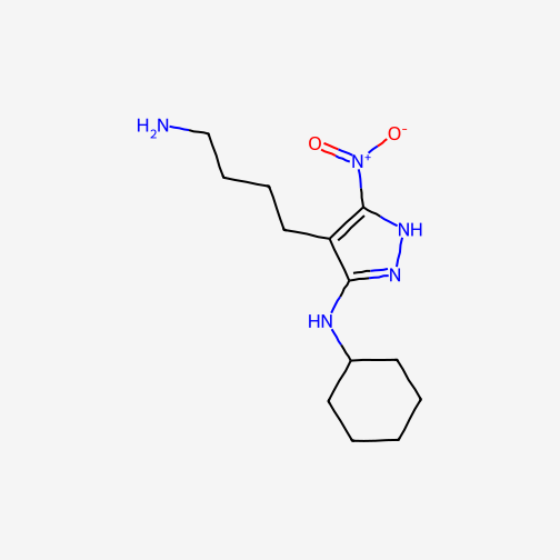 NCCCCc1c(NC2CCCCC2)n[nH]c1[N+](=O)[O-]